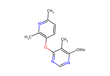 COc1ncnc(Oc2ccc(C)nc2C)c1C